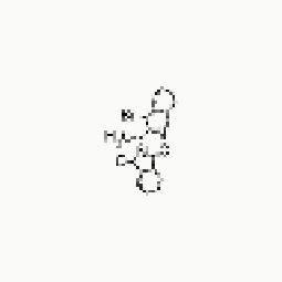 CC(c1ncc2ccccc2c1Br)N1C(=O)c2ccccc2C1=O